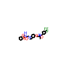 Cc1oc(-c2ccc(C(F)(F)F)cc2)nc1COc1ccc2c(ccn2CC(=O)NS(=O)(=O)c2ccccc2)c1